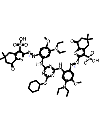 CCN(CC)c1cc(Nc2nc(Nc3cc(N(CC)CC)c(OC)cc3/N=N/c3sc4c(c3S(=O)(=O)O)CC(C)(C)CC4=O)nc(SC3CCCCC3)n2)c(/N=N/c2sc3c(c2S(=O)(=O)O)CC(C)(C)CC3=O)cc1OC